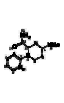 CNC1[C]CN(c2ccccn2)C(C(N)=O)C1